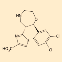 O=C(O)c1csc([C@@H]2CNCCO[C@H]2c2ccc(Cl)c(Cl)c2)n1